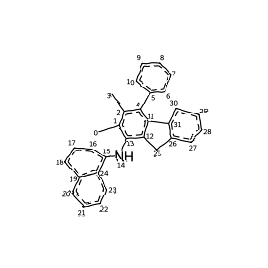 Cc1c(C)c(-c2ccccc2)c2c(c1Nc1cccc3ccccc13)Cc1ccccc1-2